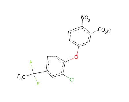 O=C(O)c1cc(Oc2ccc(C(F)(F)C(F)(F)F)cc2Cl)ccc1[N+](=O)[O-]